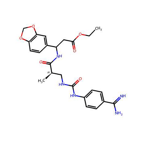 CCOC(=O)CC(NC(=O)[C@H](C)CNC(=O)Nc1ccc(C(=N)N)cc1)c1ccc2c(c1)OCO2